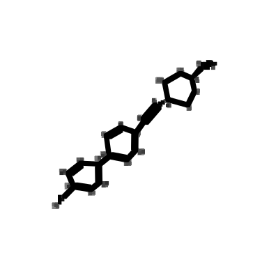 CCC[C@H]1CC[C@H](C#Cc2ccc(-c3ccc(F)cc3)cc2)CC1